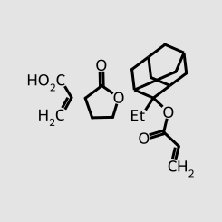 C=CC(=O)O.C=CC(=O)OC1(CC)C2CC3CC(C2)CC1C3.O=C1CCCO1